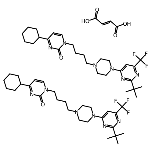 CC(C)(C)c1nc(N2CCN(CCCCn3ccc(C4CCCCC4)nc3=O)CC2)cc(C(F)(F)F)n1.CC(C)(C)c1nc(N2CCN(CCCCn3ccc(C4CCCCC4)nc3=O)CC2)cc(C(F)(F)F)n1.O=C(O)C=CC(=O)O